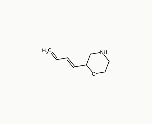 C=CC=CC1CNCCO1